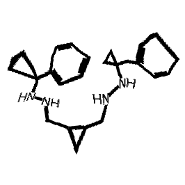 C1=CC(C2(NNCC3CC3CNNC3(c4ccccc4)CC3)CC2)=CCC1